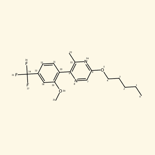 CCCCCOc1cnc(-c2ccc(C(F)(F)F)cc2OC)c(C)n1